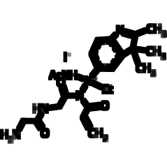 C=CC(=O)N(C(=O)CNC(=O)CN)[N+](CC)(NC(C)=O)c1ccc2c(c1)C(C)(C)C(C)=N2.[I-]